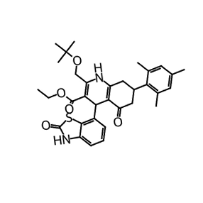 CCOC(=O)C1=C(COC(C)(C)C)NC2=C(C(=O)CC(c3c(C)cc(C)cc3C)C2)C1c1cccc2[nH]c(=O)sc12